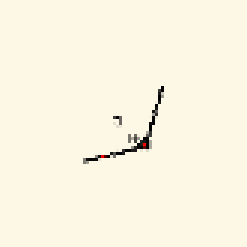 CCCCCCCCCCCCCCCCC(O)C[N+](C)(C)CC(O)CCCCCCCCCCCCCCCC.[Cl-]